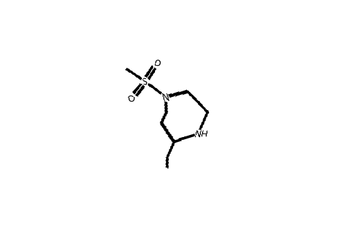 CC1CN(S(C)(=O)=O)CCN1